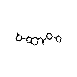 Cc1cc(-n2cc3c(n2)CCN(CC(=O)N2CCC(N4CCCC4)C2)C3)ccn1